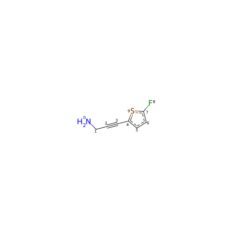 NCC#Cc1ccc(F)s1